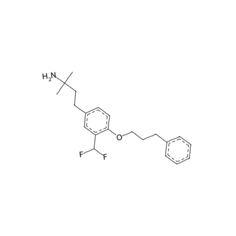 CC(C)(N)CCc1ccc(OCCCc2ccccc2)c(C(F)F)c1